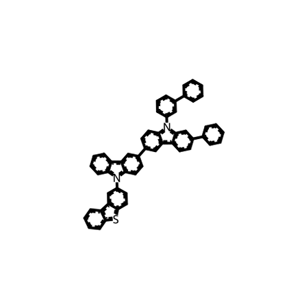 c1ccc(-c2cccc(-n3c4ccc(-c5ccc6c(c5)c5ccccc5n6-c5ccc6sc7ccccc7c6c5)cc4c4ccc(-c5ccccc5)cc43)c2)cc1